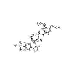 COc1ccc(CNc2ncnc(N3CCCC3c3ccc(C(F)(F)F)cc3)c2F)cc1OC